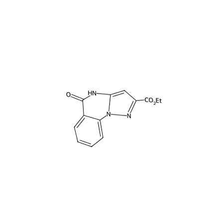 CCOC(=O)c1cc2[nH]c(=O)c3ccccc3n2n1